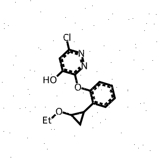 CCOC1CC1c1ccccc1Oc1nnc(Cl)cc1O